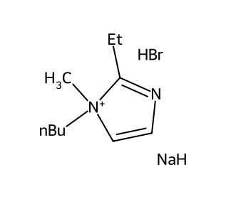 Br.CCCC[N+]1(C)C=CN=C1CC.[NaH]